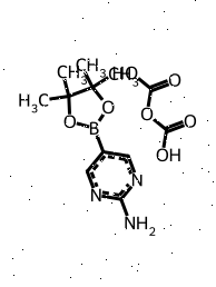 CC1(C)OB(c2cnc(N)nc2)OC1(C)C.O=C(O)OC(=O)O